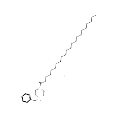 CCCCCCCCCCCCCCCCCCCCCC(=O)N1CC[N+](C)(Cc2ccccc2)CC1.[Br-]